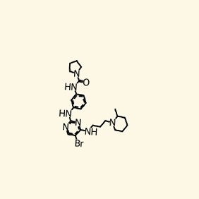 CC1CCCCN1CCCNc1nc(Nc2cccc(NC(=O)N3CCCC3)c2)ncc1Br